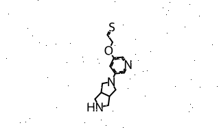 S=CCOc1cncc(N2CC3CNCC3C2)c1